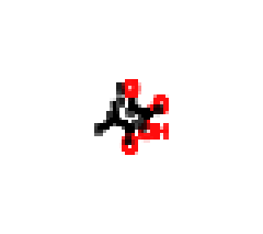 CC(C)C=O.O=CC(=O)O